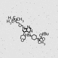 CN(C(=O)OC(C)(C)C)C1CCC(Nc2ncnc3c2c(C2CCOCC2)cn3COCC[Si](C)(C)C)CC1